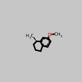 COc1ccc2c(c1)[C@H](C)CCC2